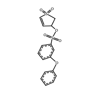 O=S1(=O)C=CC(OS(=O)(=O)c2cccc(Oc3ccccc3)c2)C1